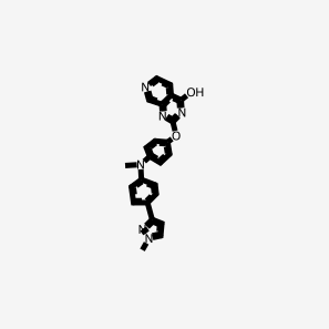 CN(c1ccc(Oc2nc(O)c3ccncc3n2)cc1)c1ccc(-c2ccn(C)n2)cc1